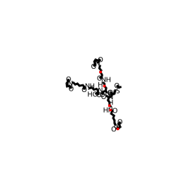 CC(=O)SCCC(=O)NC(CCCCNC(=O)CCCCCN1C(=O)C=CC1=O)C(=O)NC(CCCCNC(=O)CCCCCN1C(=O)C=CC1=O)C(=O)NC(CCCCNC(=O)CCCCCN1C(=O)C=CC1=O)C(=O)O